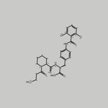 COC(=O)[C@H](Cc1ccc(NC(=O)c2c(Cl)cccc2Cl)cc1)NC(=O)C1CCCCN1C(=O)CCC(=O)O